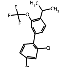 CC(C)c1ccc(-c2ccc(Cl)cc2Cl)cc1OC(F)(F)F